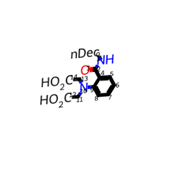 CCCCCCCCCCNC(=O)c1ccccc1N(CC(=O)O)CC(=O)O